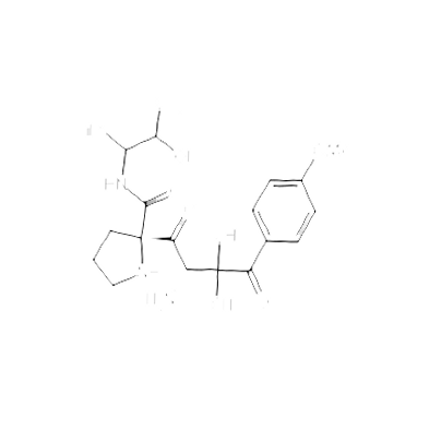 COc1ccc(C(=O)C(C)(C)[C@H](N)C(=O)[C@]2(C(=O)NC(C(C)C)C(O)C(F)(F)F)CCCN2)cc1